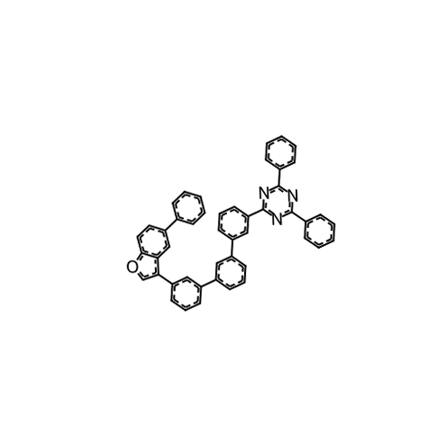 c1ccc(-c2ccc3occ(-c4cccc(-c5cccc(-c6cccc(-c7nc(-c8ccccc8)nc(-c8ccccc8)n7)c6)c5)c4)c3c2)cc1